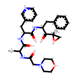 CC(NC(=O)CN1CCOCC1)C(=O)NC(Cc1cccnc1)C(=O)NC(Cc1ccccc1)C(=O)C1(C)CO1